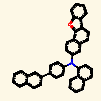 c1ccc2cc(-c3ccc(N(c4ccc5c(ccc6c7ccccc7oc56)c4)c4cccc5ccccc45)cc3)ccc2c1